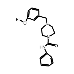 CCOc1cccc(CN2CCN(C(=O)Nc3ccccc3)CC2)c1